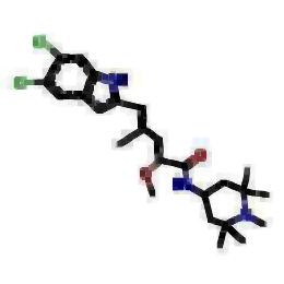 CO/C(=C\C(C)=C\c1cc2cc(Cl)c(Cl)cc2[nH]1)C(=O)NC1CC(C)(C)N(C)C(C)(C)C1